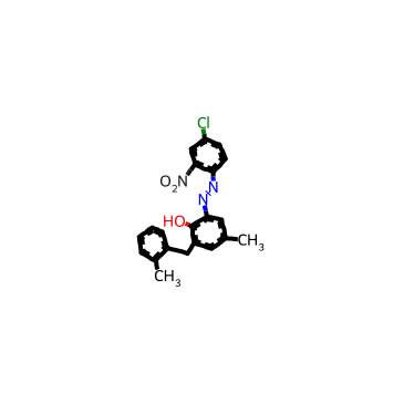 Cc1cc(Cc2ccccc2C)c(O)c(/N=N/c2ccc(Cl)cc2[N+](=O)[O-])c1